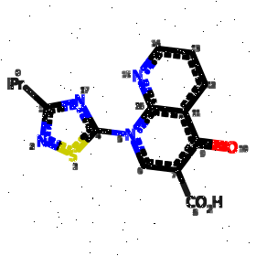 CC(C)c1nsc(-n2cc(C(=O)O)c(=O)c3cccnc32)n1